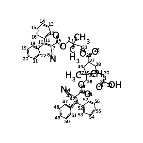 CC(C)(COC(=O)C(C#N)=C(c1ccccc1)c1ccccc1)COC(=O)C(CCCC(=O)O)CC(C)(C)COC(=O)C(C#N)=C(c1ccccc1)c1ccccc1